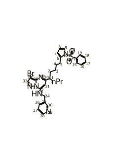 CCCC(CCCCc1cccn1S(=O)(=O)c1ccccc1)c1cc(NCc2cccnc2)n2ncc(Br)c2n1